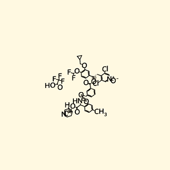 Cc1ccc(C(NS(=O)(=O)c2cccc(C(=O)O[C@@H](Cc3c(Cl)c[n+]([O-])cc3Cl)c3ccc(OC(F)F)c(OCC4CC4)c3)c2)C(=O)O[C@H]2CN3CCC2CC3)cc1.O=C(O)C(F)(F)F